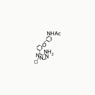 CC(=O)Nc1cccc(COc2cccc(-c3nc(C4CCC4)n4ccnc(N)c34)c2)c1